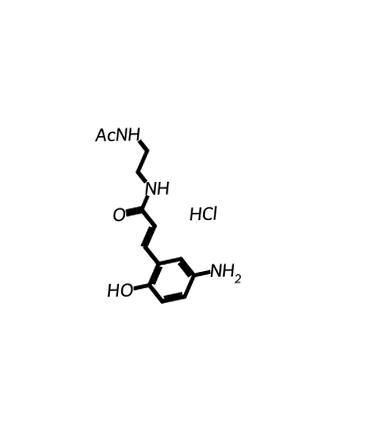 CC(=O)NCCNC(=O)C=Cc1cc(N)ccc1O.Cl